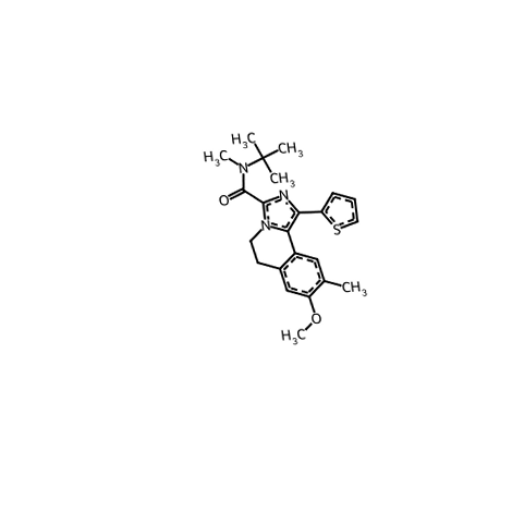 COc1cc2c(cc1C)-c1c(-c3cccs3)nc(C(=O)N(C)C(C)(C)C)n1CC2